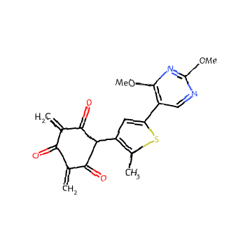 C=C1C(=O)C(=C)C(=O)C(c2cc(-c3cnc(OC)nc3OC)sc2C)C1=O